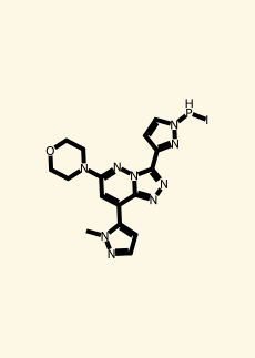 Cn1nccc1-c1cc(N2CCOCC2)nn2c(-c3ccn(PI)n3)nnc12